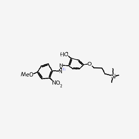 COc1ccc(/N=N/c2ccc(OCCC[Si](C)(C)C)cc2O)c([N+](=O)[O-])c1